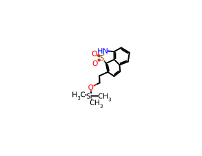 C[Si](C)(C)OCCc1ccc2cccc3c2c1S(=O)(=O)N3